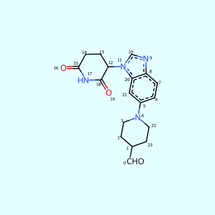 O=CC1CCN(c2ccc3ncn(C4CCC(=O)NC4=O)c3c2)CC1